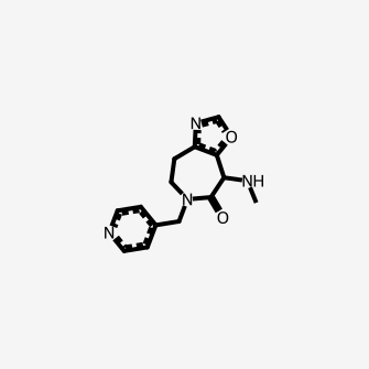 CNC1C(=O)N(Cc2ccncc2)CCc2ncoc21